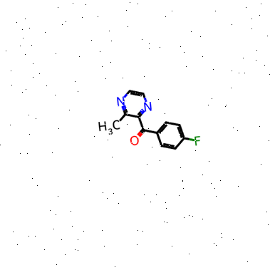 Cc1nccnc1C(=O)c1ccc(F)cc1